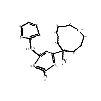 N#CC1(c2cc(Nc3ccccn3)nc(Cl)n2)CCCCCCCC1